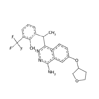 Cc1c(C(C)c2nnc(N)c3cc(OC4CCOC4)ccc23)cccc1C(F)(F)F